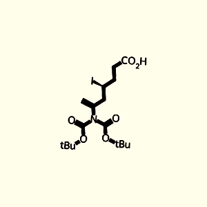 C=C(C[C@@H](I)CCC(=O)O)N(C(=O)OC(C)(C)C)C(=O)OC(C)(C)C